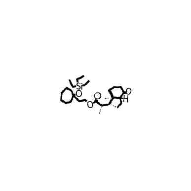 CC[Si](CC)(CC)OC1(CCOC(=O)[C@@H](C)[C@H]2CC[C@H]3C(=O)CCC[C@]23C)CCCCCC1